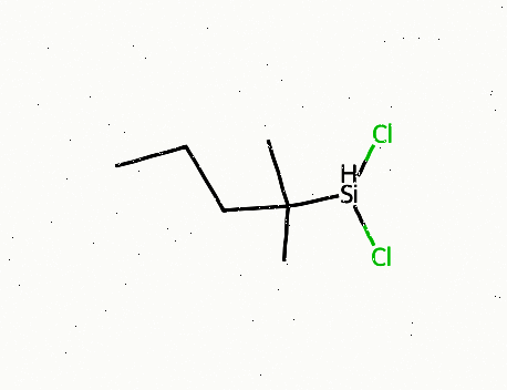 CCCC(C)(C)[SiH](Cl)Cl